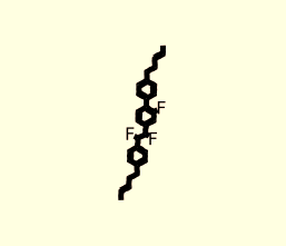 C/C=C/CCc1ccc(-c2ccc(C(F)C(F)c3ccc(CC/C=C/C)cc3)cc2F)cc1